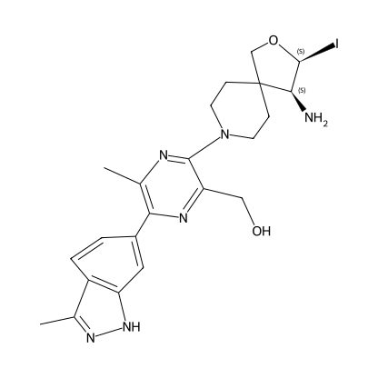 Cc1nc(N2CCC3(CC2)CO[C@@H](I)[C@H]3N)c(CO)nc1-c1ccc2c(C)n[nH]c2c1